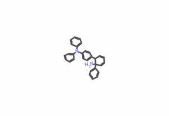 NC1(c2ccccc2)C=CC=CC1c1ccc(N(c2ccccc2)c2ccccc2)cc1